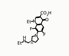 CCNC[C@@H]1CCN(c2c(F)cc3c(=O)c(C(=O)O)cn(CC)c3c2F)C1